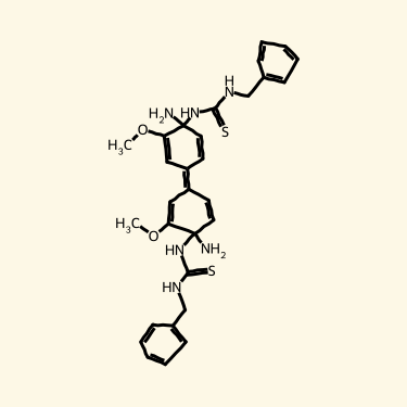 COC1=CC(=C2C=CC(N)(NC(=S)NCc3ccccc3)C(OC)=C2)C=CC1(N)NC(=S)NCc1ccccc1